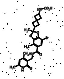 Cc1cc(C)c(CNC(=O)c2cc(Br)c3c(c2C)OC(C)(C2CC4(CC(NC(=O)O)C4)C2)O3)c(=O)[nH]1